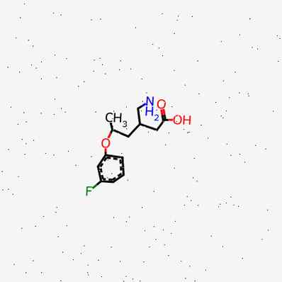 CC(CC(CN)CC(=O)O)Oc1cccc(F)c1